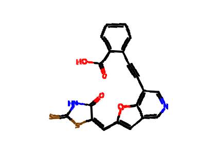 O=C1NC(=S)SC1=Cc1cc2cncc(C#Cc3ccccc3C(=O)O)c2o1